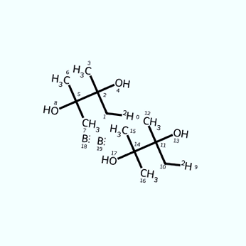 [2H]CC(C)(O)C(C)(C)O.[2H]CC(C)(O)C(C)(C)O.[B].[B]